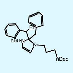 CCCCCCCCCCCCCN1C=CN(CCCC)C1(Cc1ccccc1)C(CC)c1ccccc1